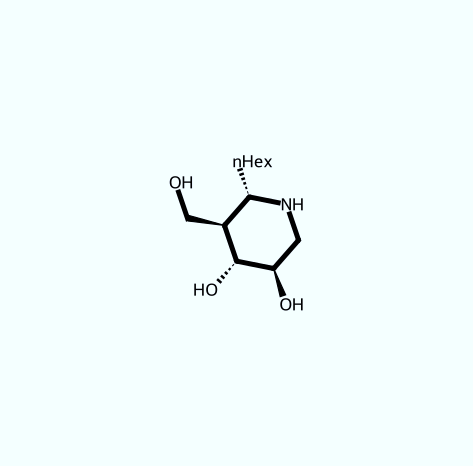 CCCCCC[C@@H]1NC[C@@H](O)[C@H](O)[C@H]1CO